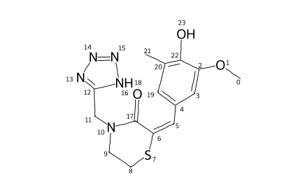 COc1cc(/C=C2/SCCN(Cc3nnn[nH]3)C2=O)cc(C)c1O